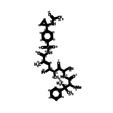 CNC(C(=O)NC(C(=O)N(C)C(C=C(C)C(=O)NS(=O)(=O)c1ccc(C2(NC(=O)C(F)(F)F)CC2)cc1)C(C)C)C(C)(C)C)C(C)(C)c1ccccc1